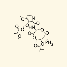 COc1ccnc(C(=O)N[C@H]2COC(=O)[C@H](CP)[C@@H](OC(=O)C(C)C)[C@H](C)OC2=O)c1OCOC(=O)C(C)OC